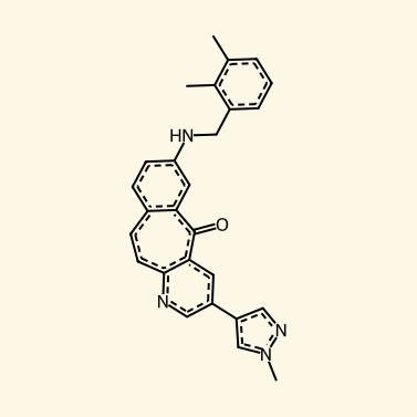 Cc1cccc(CNc2ccc3ccc4ncc(-c5cnn(C)c5)cc4c(=O)c3c2)c1C